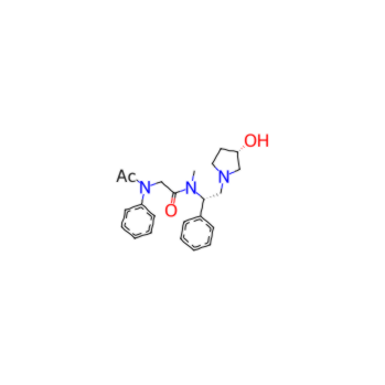 CC(=O)N(CC(=O)N(C)[C@H](CN1CC[C@H](O)C1)c1ccccc1)c1ccccc1